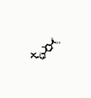 Cc1cc(C(=O)O)ccc1-c1nnn(CC(C)(C)C)n1